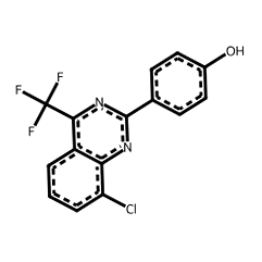 Oc1ccc(-c2nc(C(F)(F)F)c3cccc(Cl)c3n2)cc1